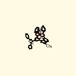 N#Cc1ccc(-c2cc(-c3cc(-c4ccccc4)nc(-c4ccccc4)n3)cc(-c3ccc(C#N)cc3)c2-n2c3ccccc3c3cc4c5ccccc5n(-c5ccccc5)c4cc32)cc1